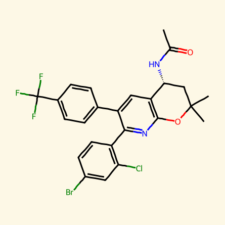 CC(=O)N[C@@H]1CC(C)(C)Oc2nc(-c3ccc(Br)cc3Cl)c(-c3ccc(C(F)(F)F)cc3)cc21